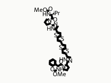 COC(=O)N[C@H](C(=O)N1CCC[C@H]1c1ncc(-c2cc3sc(-c4cc5sc(-c6cnc(C7CCCN7C(=O)[C@H](NC(=O)OC)c7ccccc7)[nH]6)cc5s4)cc3s2)[nH]1)C(C)C